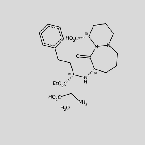 CCOC(=O)[C@H](CCc1ccccc1)N[C@H]1CCCN2CCC[C@@H](C(=O)O)N2C1=O.NCC(=O)O.O